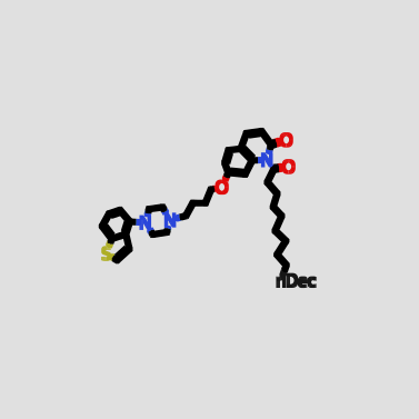 CCCCCCCCCCCCCCCCCCC(=O)n1c(=O)ccc2ccc(OCCCCN3CCN(c4cccc5sccc45)CC3)cc21